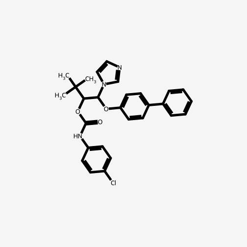 CC(C)(C)C(OC(=O)Nc1ccc(Cl)cc1)C(Oc1ccc(-c2ccccc2)cc1)n1ccnc1